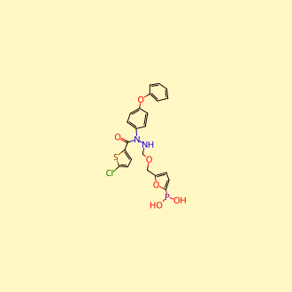 O=C(c1ccc(Cl)s1)N(NCOCc1ccc(P(O)O)o1)c1ccc(Oc2ccccc2)cc1